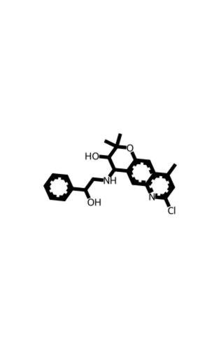 Cc1cc(Cl)nc2cc3c(cc12)OC(C)(C)C(O)C3NCC(O)c1ccccc1